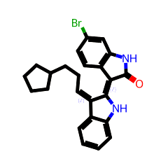 O=C1Nc2cc(Br)ccc2/C1=c1/[nH]c2ccccc2/c1=C/CCC1CCCC1